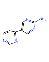 Nc1ncc(-c2ccncn2)cn1